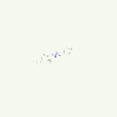 COc1cc(F)c(/C=N/N=C/c2ccc(C)cc2)c(F)c1